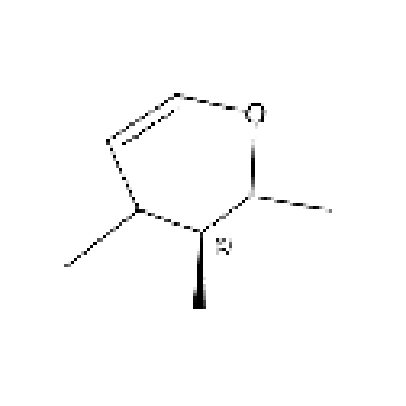 CC1C=COC(C)[C@H]1C